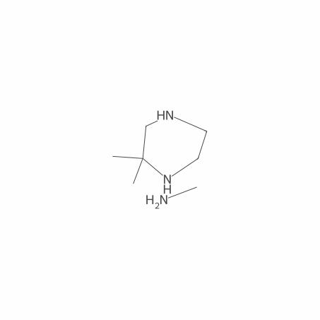 CC1(C)CNCCN1.CN